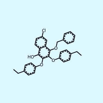 CCc1ccc(Oc2c(Oc3ccc(CC)cc3)c(OCc3ccccc3)c3cc(Cl)ccc3c2O)cc1